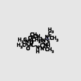 Cc1nc(NCCNC(=O)[C@H](C)N(C)C(=O)OC(C)(C)C)cc(N/C(S)=N/C(C)C)n1